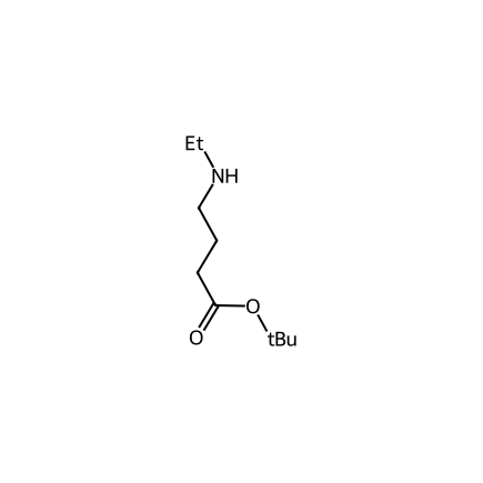 CCNCCCC(=O)OC(C)(C)C